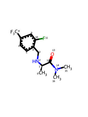 C[C@@H](NCc1ccc(C(F)(F)F)cc1F)C(=O)N(C)C